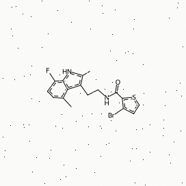 Cc1[nH]c2c(F)ccc(C)c2c1CCNC(=O)c1sccc1Br